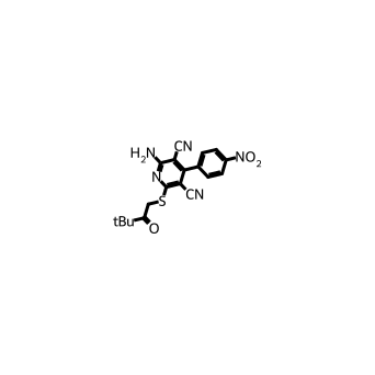 CC(C)(C)C(=O)CSc1nc(N)c(C#N)c(-c2ccc([N+](=O)[O-])cc2)c1C#N